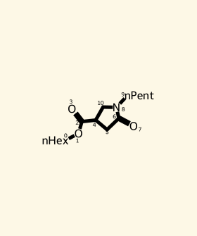 CCCCCCOC(=O)C1CC(=O)N(CCCCC)C1